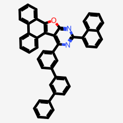 c1ccc(-c2cccc(-c3cccc(-c4nc(-c5cccc6ccccc56)nc5oc6c7ccccc7c7ccccc7c6c45)c3)c2)cc1